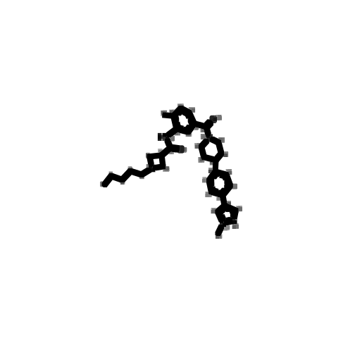 CCCCCN1CC(C(=O)Nc2cc(C(=O)N3CCC(c4ccc(-c5cnn(C)c5)cc4)CC3)ccc2C)C1